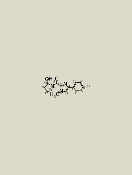 CC(c1nc(-c2ccc(I)cc2)cn1C)N1CCCC1=O